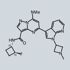 CNc1cc(-c2cn(C3CN(C)C3)c3ncccc23)nc2c(C(=O)N[C@H]3CC[C@@H]3F)cnn12